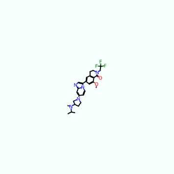 COc1cc(-c2cnc3cc(N4CCC(N(C)C(C)C)C4)ccn23)cc2c1C(=O)N(CC(F)(F)F)CC2